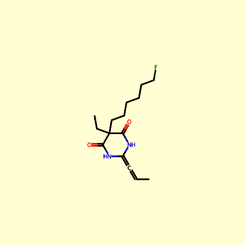 CC=C=C1NC(=O)C(CC)(CCCCCCF)C(=O)N1